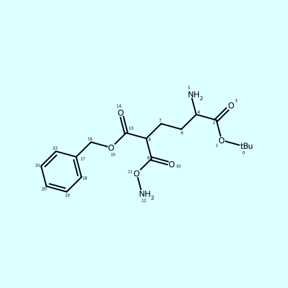 CC(C)(C)OC(=O)C(N)CCC(C(=O)ON)C(=O)OCc1ccccc1